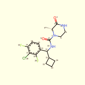 C[C@@H]1C(=O)NCCN1C(=O)NC(c1ccc(F)c(Cl)c1F)C1CCC1